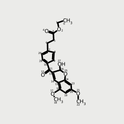 CCOC(=O)CCc1ccc(C(=O)C2=Cc3c(OC)cc(OC)cc3OC2O)cc1